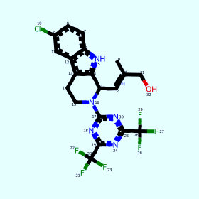 C/C(=C\C1c2[nH]c3ccc(Cl)cc3c2CCN1c1nc(C(F)(F)F)nc(C(F)(F)F)n1)CO